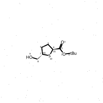 CC(C)(C)OC(=O)[C@@H]1CC[C@@H](CO)S1